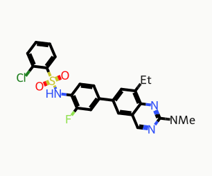 CCc1cc(-c2ccc(NS(=O)(=O)c3ccccc3Cl)c(F)c2)cc2cnc(NC)nc12